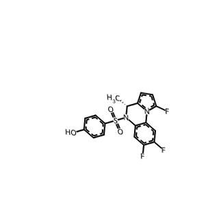 C[C@@H]1c2ccc(F)n2-c2cc(F)c(F)cc2N1S(=O)(=O)c1ccc(O)cc1